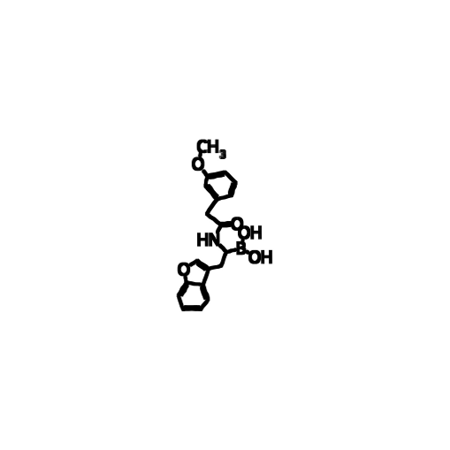 COc1cccc(CC(=O)NC(Cc2coc3ccccc23)B(O)O)c1